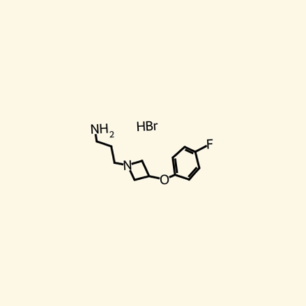 Br.NCCCN1CC(Oc2ccc(F)cc2)C1